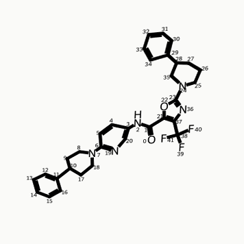 O=C(Nc1ccc(N2CCC(c3ccccc3)CC2)nc1)c1oc(N2CCCC(c3ccccc3)C2)nc1C(F)(F)F